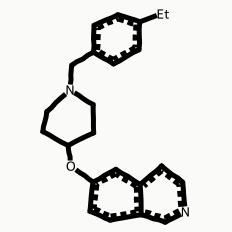 CCc1ccc(CN2CCC(Oc3ccc4cnccc4c3)CC2)cc1